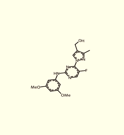 COc1cc(Nc2ncc(F)c(-n3cc(CO)c(C)n3)n2)cc(OC)c1